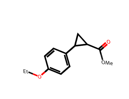 CCOc1ccc(C2CC2C(=O)OC)cc1